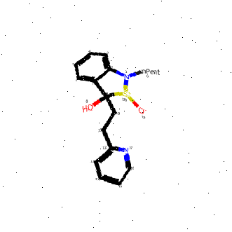 CCCCCN1c2ccccc2C(O)(CCc2ccccn2)[S+]1[O-]